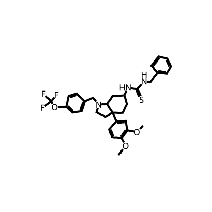 COc1ccc(C23CCC(NC(=S)NCc4ccccc4)CC2N(Cc2ccc(OC(F)(F)F)cc2)CC3)cc1OC